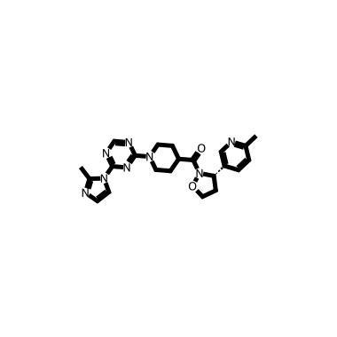 Cc1ccc([C@@H]2CCON2C(=O)C2CCN(c3ncnc(-n4ccnc4C)n3)CC2)cn1